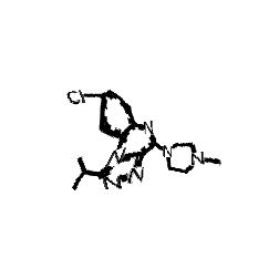 CC(C)c1nnc2c(N3CCN(C)CC3)nc3ccc(Cl)cc3n12